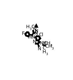 CC(C)(C)CNc1c(C#N)cnc2c(N[C@@H](c3ccc(F)cc3)c3cn(C4(C)CC4)nn3)cc(Cl)cc12